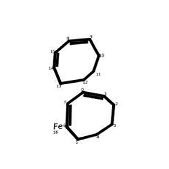 C1=CCCCCC=C1.C1=CCCCCC=C1.[Fe]